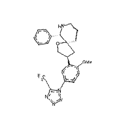 COc1ccc(-n2nnnc2C(F)(F)F)cc1[C@H]1CO[C@]2(CCCN[C@H]2c2ccccc2)C1